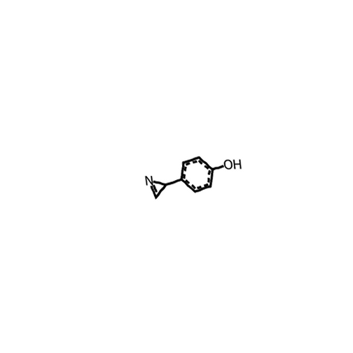 Oc1ccc(C2C=N2)cc1